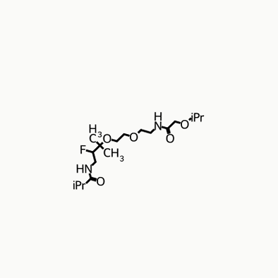 CC(C)OCC(=O)NCCOCCOC(C)(C)C(F)CNC(=O)C(C)C